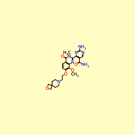 COc1c(OCCN2CCC3(CC2)COC3)ccc2c(=O)n(C)c(-c3nc(N)ncc3C(N)=O)nc12